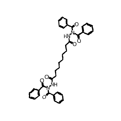 O=C(CCCCCCCCC(=O)NN(C(=O)c1ccccc1)C(=O)c1ccccc1)NN(C(=O)c1ccccc1)C(=O)c1ccccc1